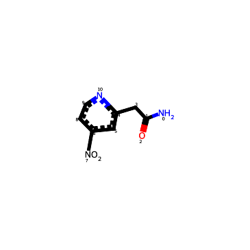 NC(=O)Cc1cc([N+](=O)[O-])ccn1